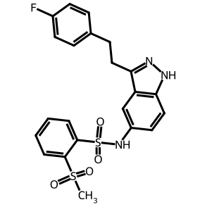 CS(=O)(=O)c1ccccc1S(=O)(=O)Nc1ccc2[nH]nc(CCc3ccc(F)cc3)c2c1